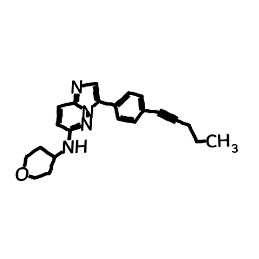 CCCC#Cc1ccc(-c2cnc3ccc(NC4CCOCC4)nn23)cc1